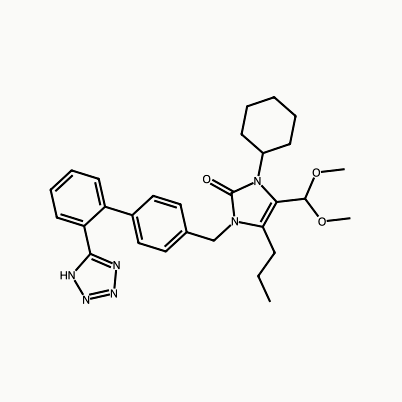 CCCc1c(C(OC)OC)n(C2CCCCC2)c(=O)n1Cc1ccc(-c2ccccc2-c2nnn[nH]2)cc1